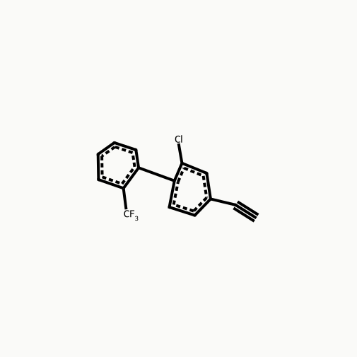 C#Cc1ccc(-c2ccccc2C(F)(F)F)c(Cl)c1